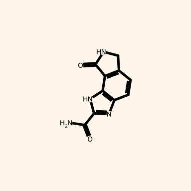 NC(=O)c1nc2ccc3c(c2[nH]1)C(=O)NC3